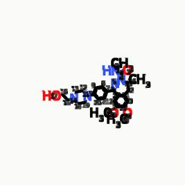 CNC(=O)N1N=C(c2ccc(N3CCN(CCO)CC3)cc2)c2cc(OC)c(OC)cc2CC1C